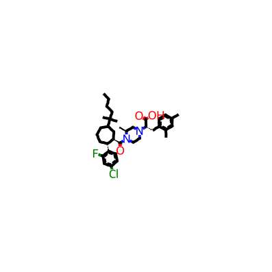 CCCCC(C)(C)C1CCC[C@@H](c2ccc(Cl)cc2F)[C@H](C(=O)N2CCN([C@@H](Cc3ccc(C)cc3C)C(=O)O)C[C@@H]2C)C1